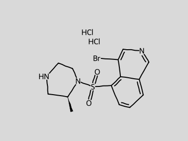 C[C@H]1CNCCN1S(=O)(=O)c1cccc2cncc(Br)c12.Cl.Cl